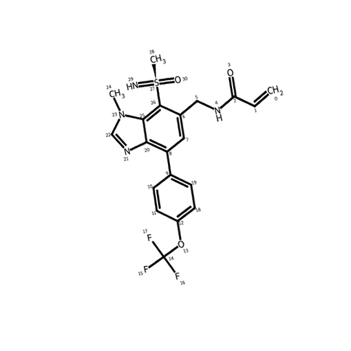 C=CC(=O)NCc1cc(-c2ccc(OC(F)(F)F)cc2)c2ncn(C)c2c1[S@](C)(=N)=O